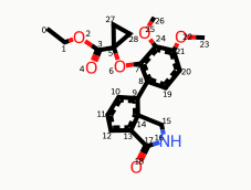 CCOC(=O)C1(Oc2c(-c3cccc4c3CNC4=O)ccc(OC)c2OC)CC1